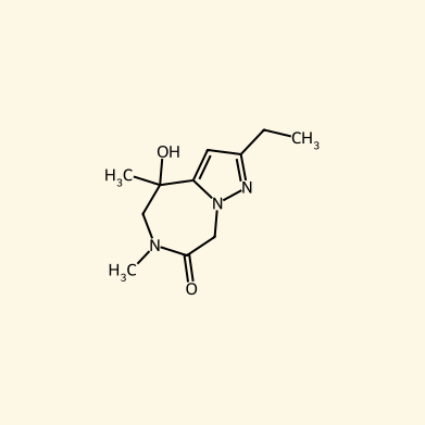 CCc1cc2n(n1)CC(=O)N(C)CC2(C)O